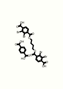 O=C(O)c1ccc(C(=O)O)cc1.O=C(O)c1ccc(C(=O)OCCCCOC(=O)c2ccc(C(=O)O)c(Br)c2Br)c(Br)c1Br